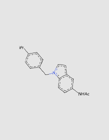 CC(=O)Nc1ccc2c(ccn2Cc2ccc(C(C)C)cc2)c1